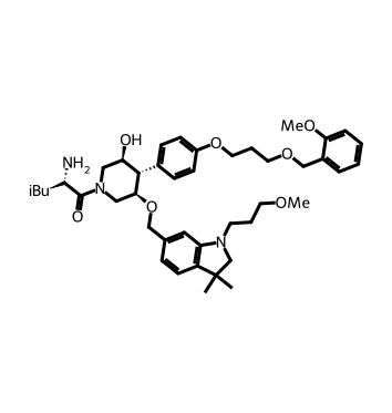 CC[C@H](C)[C@H](N)C(=O)N1C[C@@H](O)[C@H](c2ccc(OCCCOCc3ccccc3OC)cc2)[C@@H](OCc2ccc3c(c2)N(CCCOC)CC3(C)C)C1